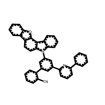 N#Cc1ccccc1-c1cc(-c2cccc(-c3ccccc3)n2)cc(-n2c3ccccc3c3c4oc5ccccc5c4ccc32)c1